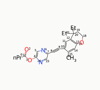 CCCC(=O)Oc1cnc(C#Cc2cc3c(cc2C)OCCC3(CC)CC)cn1